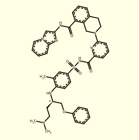 Cc1cc(S(=O)(=O)NC(=O)c2cccc(N3CCc4cccc(C(=O)Nc5cn6ccccc6n5)c4C3)n2)ccc1N[C@H](CCN(C)C)COc1ccccc1